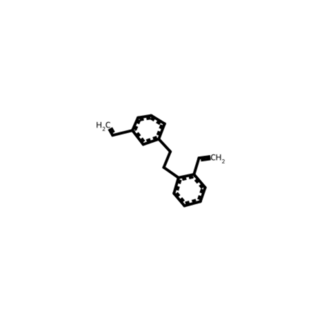 C=Cc1cccc(CCc2ccccc2C=C)c1